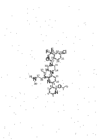 CCOc1ncccc1-c1ccc(N2CCN(C(=O)c3ccc(Cl)cc3C(F)(F)F)C[C@H]2CC)c(SCCN(C)C)n1